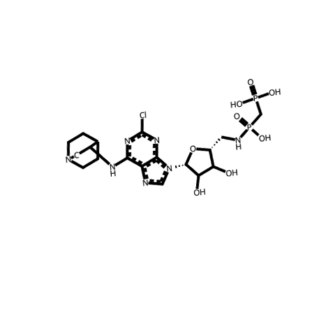 O=P(O)(O)CP(=O)(O)NC[C@H]1O[C@@H](n2cnc3c(NC4CN5CCC4CC5)nc(Cl)nc32)C(O)C1O